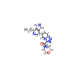 Cc1ncc(-c2ccc3nnc(C(=O)N4C5CCC4COC5)n3c2)c2c1CN=C2